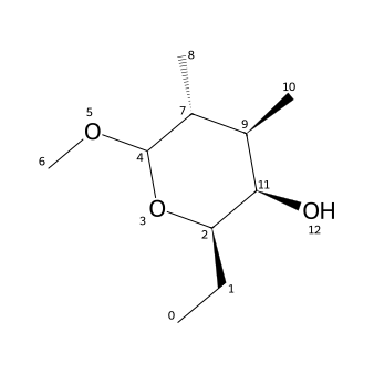 CC[C@H]1OC(OC)[C@H](C)[C@@H](C)[C@H]1O